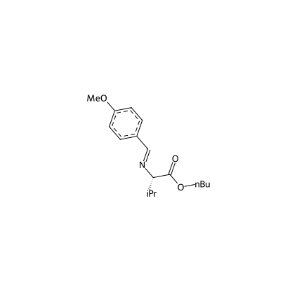 CCCCOC(=O)[C@@H](/N=C/c1ccc(OC)cc1)C(C)C